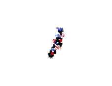 Cn1cc(C(=O)Nc2ccc3c(c2)C(=O)N(CC(O)CN2CCc4ccccc4C2)CC32CC2)cn1